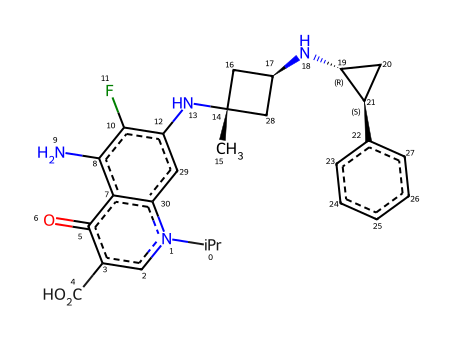 CC(C)n1cc(C(=O)O)c(=O)c2c(N)c(F)c(N[C@]3(C)C[C@@H](N[C@@H]4C[C@H]4c4ccccc4)C3)cc21